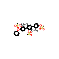 COc1cc(-c2ccc(OS(C)(=O)=O)cc2)c(OC)c(OS(C)(=O)=O)c1-c1ccc(OC2C=CCCC2)c(OS(C)(=O)=O)c1